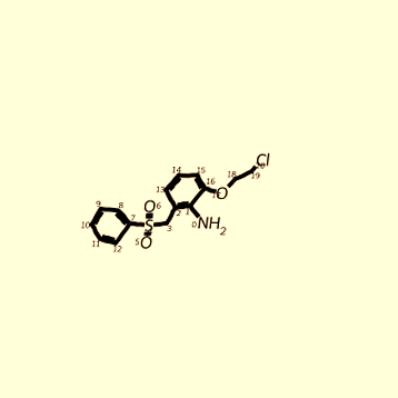 Nc1c(CS(=O)(=O)c2ccccc2)cccc1OCCCl